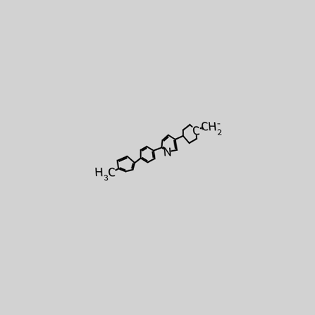 [CH2-][C+]1CCC(c2ccc(-c3ccc(-c4ccc(C)cc4)cc3)nc2)CC1